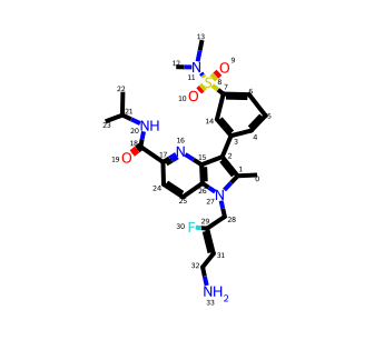 Cc1c(-c2cccc(S(=O)(=O)N(C)C)c2)c2nc(C(=O)NC(C)C)ccc2n1CC(F)=CCN